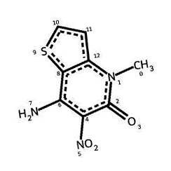 Cn1c(=O)c([N+](=O)[O-])c(N)c2sccc21